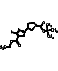 CCOC(=O)c1cn(C2CCN(C(=O)OC(C)(C)C)C2)nc1I